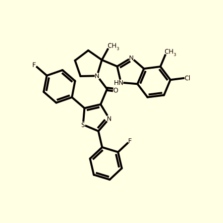 Cc1c(Cl)ccc2[nH]c(C3(C)CCCN3C(=O)c3nc(-c4ccccc4F)sc3-c3ccc(F)cc3)nc12